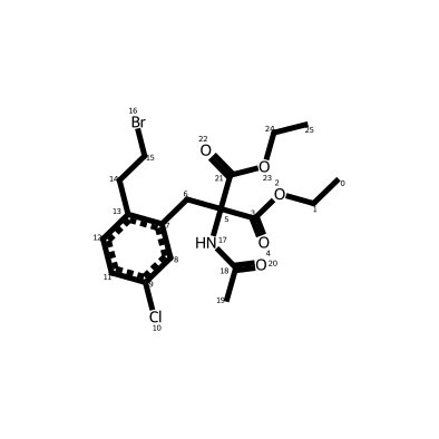 CCOC(=O)C(Cc1cc(Cl)ccc1CCBr)(NC(C)=O)C(=O)OCC